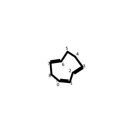 [C]1=C\C=C\CC/C=C/C/1